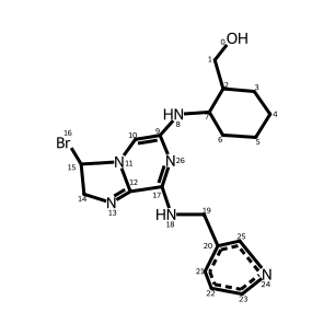 OCC1CCCCC1NC1=CN2C(=NCC2Br)C(NCc2cccnc2)=N1